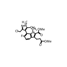 COC(=O)CCc1c(C(=O)OC)n(C)c2c(-c3c(CCl)nn(C)c3C)c(F)ccc12